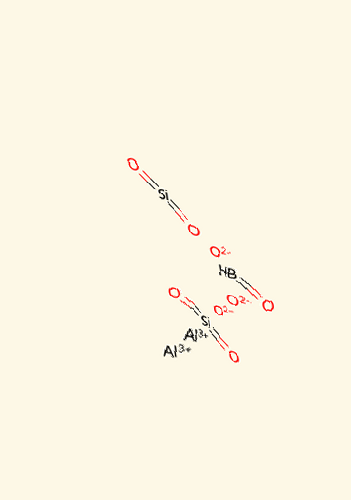 B=O.O=[Si]=O.O=[Si]=O.[Al+3].[Al+3].[O-2].[O-2].[O-2]